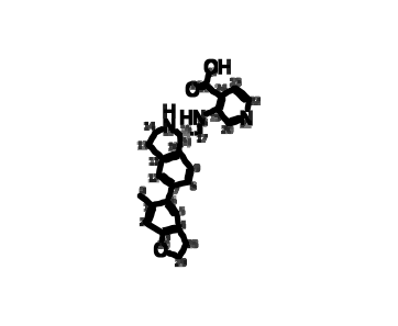 Cc1cc2c(cc1-c1ccc3c(c1)CCN[C@@H]3CNc1cnccc1C(=O)O)CCO2